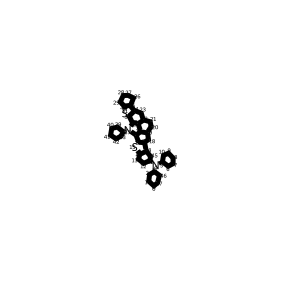 c1ccc(N(c2ccccc2)c2ccc3sc4c(cc5ccc6cc7c8ccccc8sc7c7c6c5c4n7-c4ccccc4)c3c2)cc1